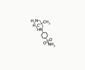 CC(C)(CN)CNc1ccc(S(N)(=O)=O)cc1